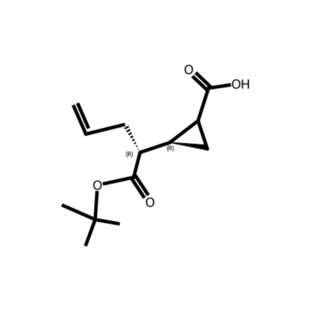 C=CC[C@@H](C(=O)OC(C)(C)C)[C@@H]1CC1C(=O)O